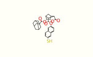 O=C1OC2C3CC(C2OC(=O)C24CC5CC(CC(C5)C2)C4)C(C(=O)Oc2ccc4cc(S)ccc4c2)C13